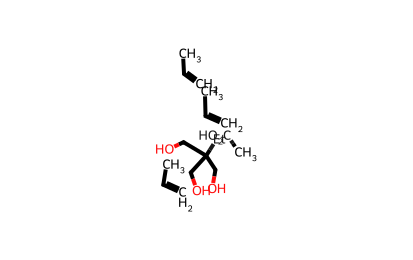 C=CC.C=CC.C=CC.CC(=O)O.CCC(CO)(CO)CO